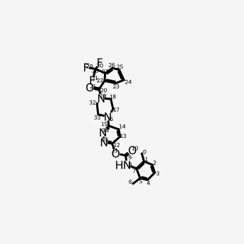 Cc1cccc(C)c1NC(=O)Oc1ccc(N2CCN(C(=O)c3ccccc3C(F)(F)F)CC2)nn1